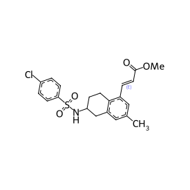 COC(=O)/C=C/c1cc(C)cc2c1CCC(NS(=O)(=O)c1ccc(Cl)cc1)C2